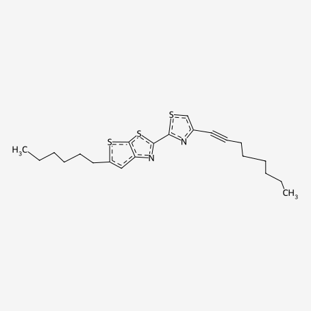 CCCCCCC#Cc1csc(-c2nc3cc(CCCCCC)sc3s2)n1